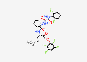 O=C(O)CCC(NC(=O)C1(NC(=O)C(=O)Nc2c(F)cccc2F)CCCC1)C(=O)COc1c(F)c(F)cc(F)c1F